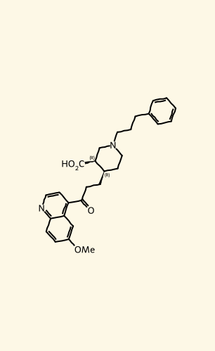 COc1ccc2nccc(C(=O)CC[C@@H]3CCN(CCCc4ccccc4)C[C@@H]3C(=O)O)c2c1